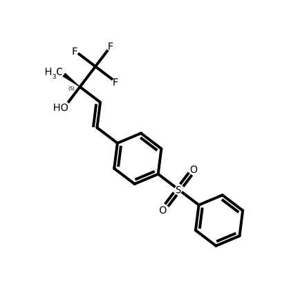 C[C@](O)(C=Cc1ccc(S(=O)(=O)c2ccccc2)cc1)C(F)(F)F